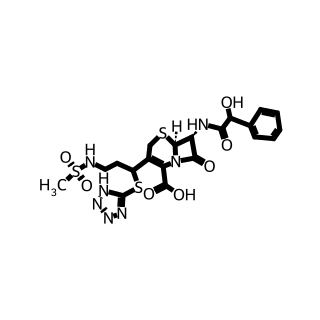 CS(=O)(=O)NCCC(Sc1nnn[nH]1)C1=C(C(=O)O)N2C(=O)[C@@H](NC(=O)C(O)c3ccccc3)[C@@H]2SC1